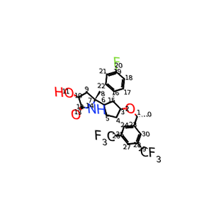 C[C@@H](O[C@H]1CC[C@@H]([C@@]2(C)C[C@H](O)C(=O)N2)[C@@H]1c1ccc(F)cc1)c1cc(C(F)(F)F)cc(C(F)(F)F)c1